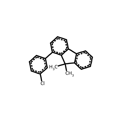 CC1(C)c2ccccc2-c2cccc(-c3cccc(Cl)c3)c21